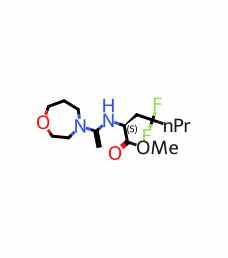 C=C(N[C@@H](CC(F)(F)CCC)C(=O)OC)N1CCCOCC1